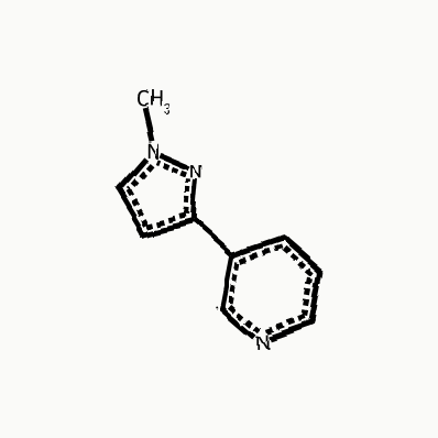 Cn1ccc(-c2[c]nccc2)n1